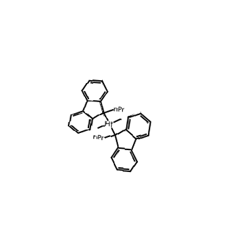 CCC[C]1([Hf]([CH3])([CH3])[C]2(CCC)c3ccccc3-c3ccccc32)c2ccccc2-c2ccccc21